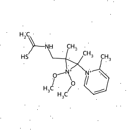 C=C(S)NCC1(C)C(C)([n+]2ccccc2C)[N+]1(OC)OC